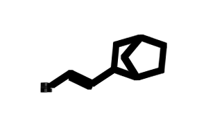 CCC=CC1CC2CCC1C2